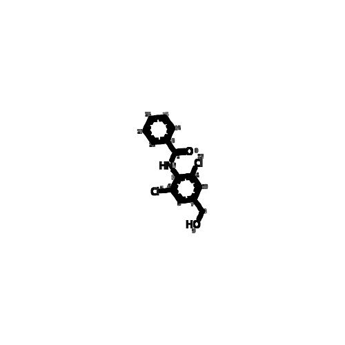 O=C(Nc1c(Cl)cc(CO)cc1Cl)c1ccccc1